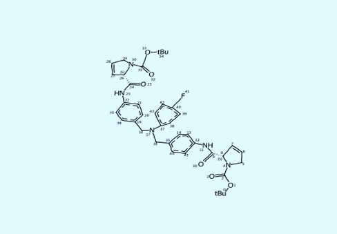 CC(C)(C)OC(=O)N1CC=C[C@H]1C(=O)Nc1ccc(CN(Cc2ccc(NC(=O)[C@@H]3C=CCN3C(=O)OC(C)(C)C)cc2)c2ccc(F)cc2)cc1